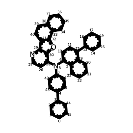 c1ccc(-c2ccc(N(c3ccc(-c4ccccc4)c4ccccc34)c3ccnc4c3oc3c5ccccc5ccc43)cc2)cc1